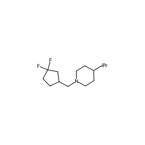 CC(C)C1CCN(CC2CCC(F)(F)C2)CC1